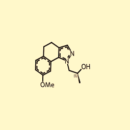 COc1ccc2c(c1)-c1c(cnn1C[C@H](C)O)CC2